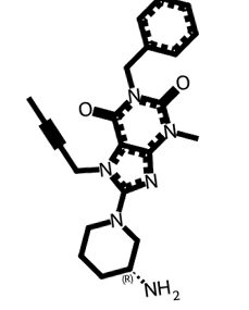 CC#CCn1c(N2CCC[C@@H](N)C2)nc2c1c(=O)n(Cc1ccccc1)c(=O)n2C